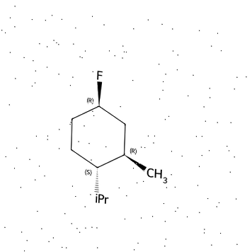 CC(C)[C@@H]1CC[C@@H](F)C[C@H]1C